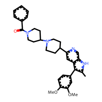 COc1ccc(-c2c(C)[nH]c3cnc(C4CCN(C5CCN(C(=O)c6ccccc6)CC5)CC4)cc23)cc1OC